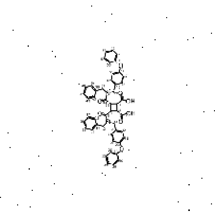 O=C(O)C1C(C(=O)O)C(C(=O)N(Cc2ccccc2)Cc2ccc(Oc3ccccc3)cc2)C1C(=O)N(Cc1ccccc1)Cc1ccc(Oc2ccccc2)cc1